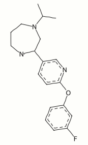 CC(C)N1CCC[N]C(c2ccc(Oc3cccc(F)c3)nc2)C1